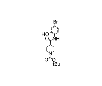 CC(C)(C)OC(=O)N1CCC(C(=O)Nc2ccc(Br)cc2O)CC1